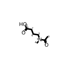 CC(=O)N(C)CCCC(=O)O